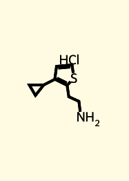 Cl.NCCc1sccc1C1CC1